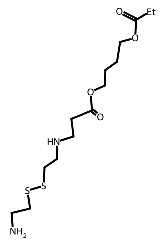 CCC(=O)OCCCCOC(=O)CCNCCSSCCN